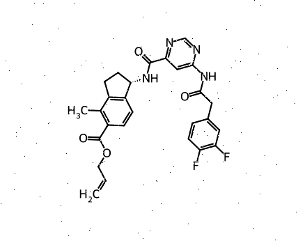 C=CCOC(=O)c1ccc2c(c1C)CC[C@@H]2NC(=O)c1cc(NC(=O)Cc2ccc(F)c(F)c2)ncn1